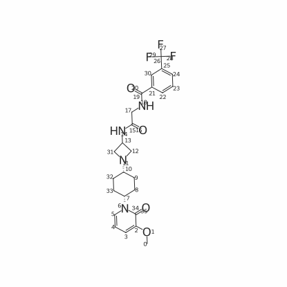 COc1cccn([C@H]2CC[C@@H](N3CC(NC(=O)CNC(=O)c4cccc(C(F)(F)F)c4)C3)CC2)c1=O